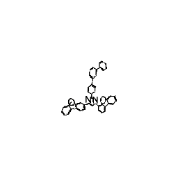 c1ccc(-c2cccc(-c3ccc(-c4nc(-c5ccc6c(c5)oc5ccccc56)cc(-c5cccc6c5oc5ccccc56)n4)cc3)c2)cc1